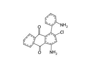 Nc1ccccc1-c1c(Cl)cc(N)c2c1C(=O)c1ccccc1C2=O